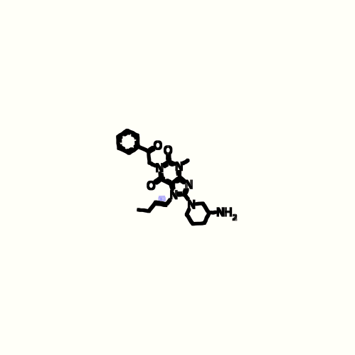 CC/C=C/n1c(N2CCCC(N)C2)nc2c1c(=O)n(CC(=O)c1ccccc1)c(=O)n2C